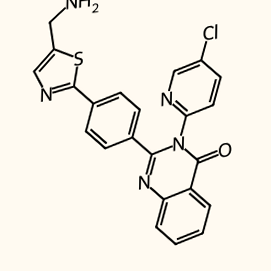 NCc1cnc(-c2ccc(-c3nc4ccccc4c(=O)n3-c3ccc(Cl)cn3)cc2)s1